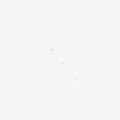 CCCCCCCCCCCCOP(=O)([O-])CCCCCCCCCCCC.CCCCCCCCCCCCOP(=O)([O-])CCCCCCCCCCCC.[Ni+2]